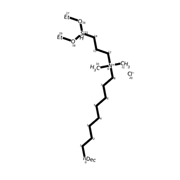 CCCCCCCCCCCCCCCCCC[N+](C)(C)CCC[SiH](OCC)OCC.[Cl-]